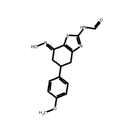 COc1ccc(C2C/C(=N\O)c3sc(NC=O)nc3C2)cc1